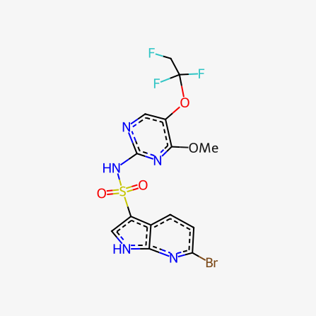 COc1nc(NS(=O)(=O)c2c[nH]c3nc(Br)ccc23)ncc1OC(F)(F)CF